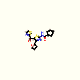 O=C(Nc1nc(-c2ccco2)c(C(=O)c2nccs2)s1)c1ccccc1